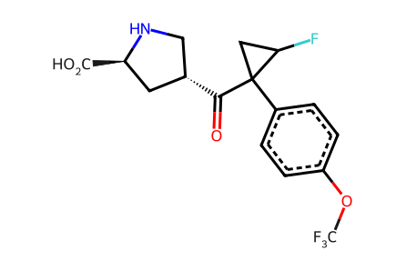 O=C(O)[C@@H]1C[C@@H](C(=O)C2(c3ccc(OC(F)(F)F)cc3)CC2F)CN1